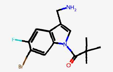 CC(C)(C)C(=O)n1cc(CN)c2cc(F)c(Br)cc21